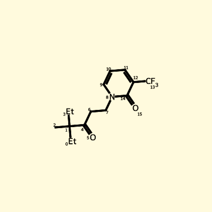 CCC(C)(CC)C(=O)CCn1cccc(C(F)(F)F)c1=O